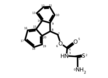 NC(=S)NC(=O)OCC1c2ccccc2-c2ccccc21